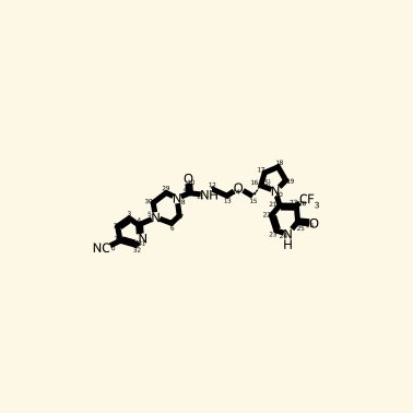 N#Cc1ccc(N2CCN(C(=O)NCCOC[C@@H]3CCCN3c3cc[nH]c(=O)c3C(F)(F)F)CC2)nc1